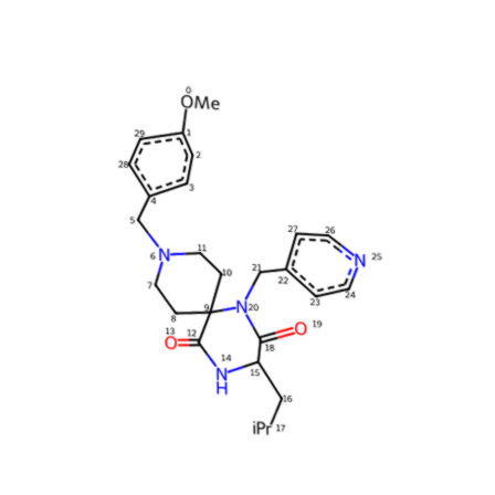 COc1ccc(CN2CCC3(CC2)C(=O)NC(CC(C)C)C(=O)N3Cc2ccncc2)cc1